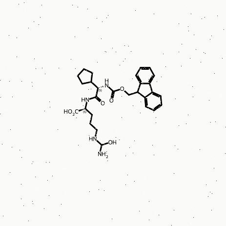 NC(O)NCCC[C@H](NC(=O)[C@@H](NC(=O)OCC1c2ccccc2-c2ccccc21)C1CCCC1)C(=O)O